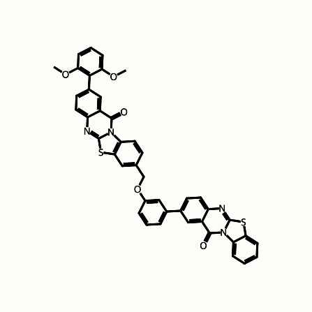 COc1cccc(OC)c1-c1ccc2nc3sc4cc(COc5cccc(-c6ccc7nc8sc9ccccc9n8c(=O)c7c6)c5)ccc4n3c(=O)c2c1